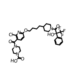 O=C(O)N1CCN(C(=O)c2ccc(OCCCCC3CCN(C(=O)[C@@](O)(c4ccccc4)C(F)(F)F)CC3)nc2Cl)CC1